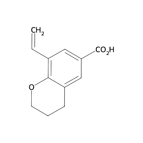 C=Cc1cc(C(=O)O)cc2c1OCCC2